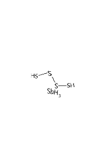 SSSS.[SbH3]